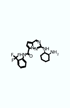 N[C@H]1CCCC[C@H]1Nc1ncc2ccc(C(=O)Nc3ccccc3C(F)(F)F)n2n1